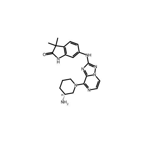 CC1(C)C(=O)Nc2cc(Nc3nc4c(N5CCC[C@@H](N)C5)nccn4n3)ccc21